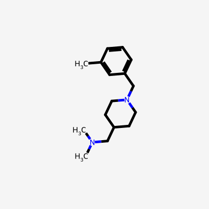 Cc1cccc(CN2CCC(CN(C)C)CC2)c1